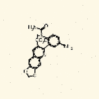 CCOC(=O)c1cc2cc3c(cc2nc1-c1cc(N)ccc1NC(N)=O)OCO3